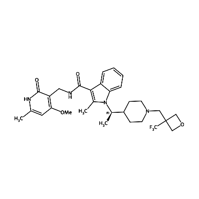 COc1cc(C)[nH]c(=O)c1CNC(=O)c1c(C)n([C@H](C)C2CCN(CC3(C(F)(F)F)COC3)CC2)c2ccccc12